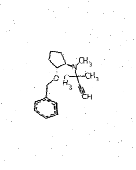 C#CC(C)(C)N(C)[C@@H]1CCC[C@H]1OCc1ccccc1